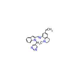 C=Cc1cc2c(c(/N=C/c3cc4ccccc4n3Cc3cncnc3)c1)N(C)CCC2